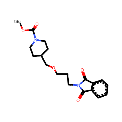 CC(C)(C)OC(=O)N1CCC(COCCCN2C(=O)c3ccccc3C2=O)CC1